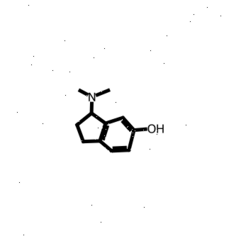 CN(C)C1CCc2ccc(O)cc21